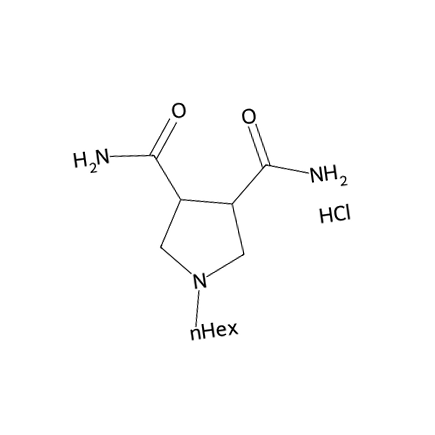 CCCCCCN1CC(C(N)=O)C(C(N)=O)C1.Cl